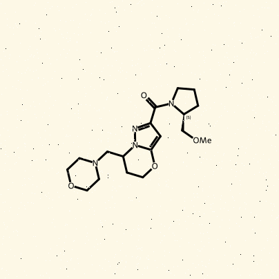 COC[C@@H]1CCCN1C(=O)c1cc2n(n1)C(CN1CCOCC1)CCO2